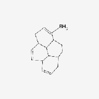 BC1=CCC2C=CC3C=CCC4CCC1C2C34